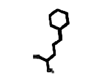 CC(O)CCC=C1CCCCC1